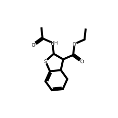 CCOC(=O)C1C(NC(C)=O)SC2=CC=CCC21